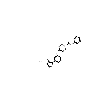 O=C(O)COc1c(C(=O)O)sc(-c2cccc(OC3CCN(C(=O)Nc4ccccc4)CC3)c2)c1Cl